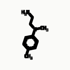 Cc1ccc(N(C)CCN)cc1